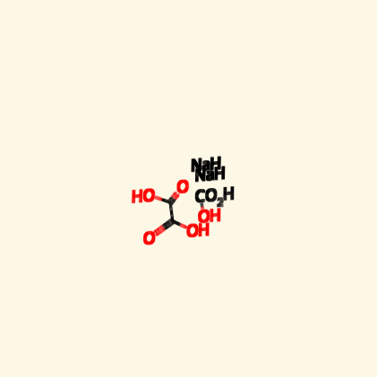 O=C(O)C(=O)O.O=C(O)O.[NaH].[NaH]